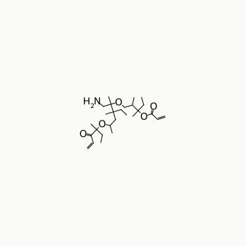 C=CC(=O)OC(C)(CC)C(C)COC(C)(CN)C(C)(CC)CC(C)OC(C)(CC)C(=O)C=C